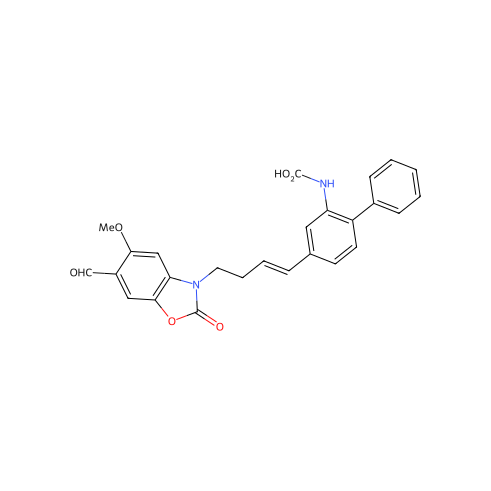 COc1cc2c(cc1C=O)oc(=O)n2CCC=Cc1ccc(-c2ccccc2)c(NC(=O)O)c1